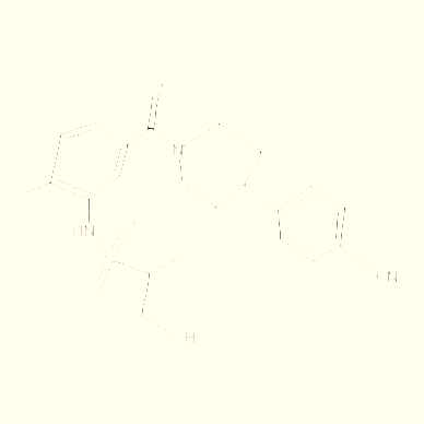 Cc1ccc(C(=O)N2CCC(c3ccc(C#N)cc3)CC2)cc1NS(=O)(=O)C(C)CO